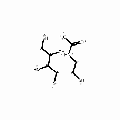 O=C(NCCS)C(F)(F)F.OC(CS)C(O)CS